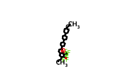 CCCc1cc2c(c(C(F)(F)F)c1C(F)(F)F)OC(C1CCC(C3CCC(C4CCC(CCC)CC4)CC3)CC1)CC2